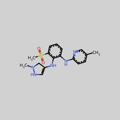 Cc1ccc(Nc2cccc(S(C)(=O)=O)c2NC2=CNN(C)C2)nc1